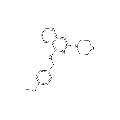 COc1ccc(COc2nc(N3CCOCC3)cc3ncccc23)cc1